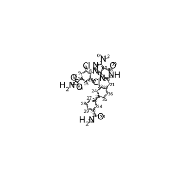 CN(C)c1nn(-c2c(Cl)cc(S(N)(=O)=O)cc2Cl)c2nc(Cc3ccc(-c4cccc(C(N)=O)c4)cc3)[nH]c(=O)c12